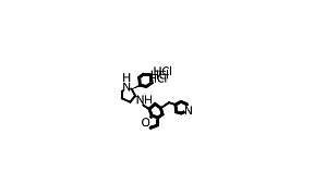 Cl.Cl.Cl.c1ccc([C@@H]2NCCC[C@@H]2NCc2cc(Cc3ccncc3)cc3ccoc23)cc1